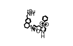 CC(C)(C)NCc1ccc2c(c1)CCC[C@H]2n1cc(CC2C(=O)NC=CN2S(=O)(=O)c2ccccc2)nn1